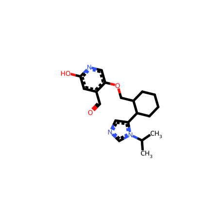 CC(C)n1cncc1C1CCCCC1COc1cnc(O)cc1C=O